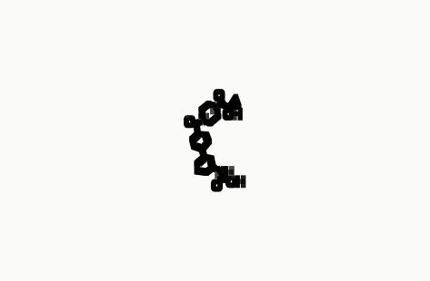 O=C(O)Nc1cccc(-c2ccc(C(=O)N3CCN(C(=O)C4(O)CC4)CC3)cc2)c1